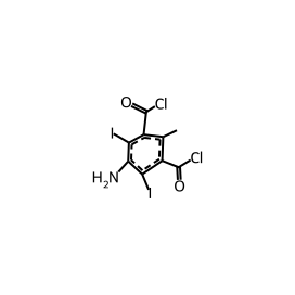 Cc1c(C(=O)Cl)c(I)c(N)c(I)c1C(=O)Cl